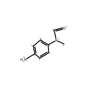 CN(C=O)c1ccc(N)cc1